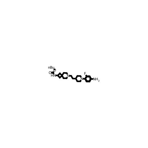 CCCCOC(=O)NC1CC2(CCN(CCC3CCN(c4ccc(N)cc4F)CC3)CC2)C1